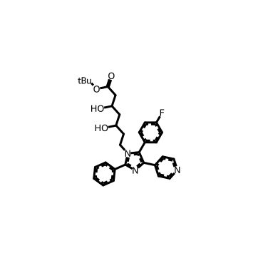 CC(C)(C)OC(=O)CC(O)CC(O)CCn1c(-c2ccccc2)nc(-c2ccncc2)c1-c1ccc(F)cc1